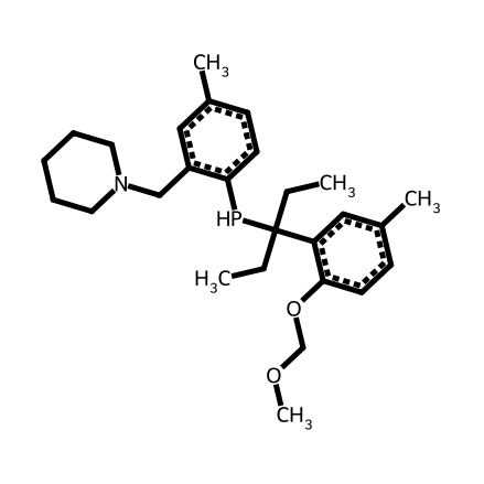 CCC(CC)(Pc1ccc(C)cc1CN1CCCCC1)c1cc(C)ccc1OCOC